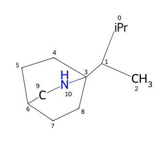 CC(C)C(C)C12CCC(CC1)CN2